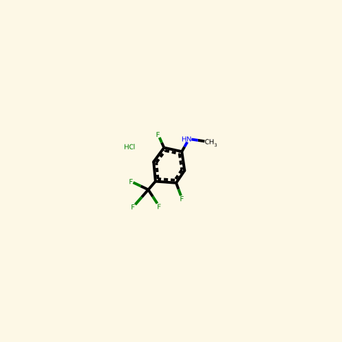 CNc1cc(F)c(C(F)(F)F)cc1F.Cl